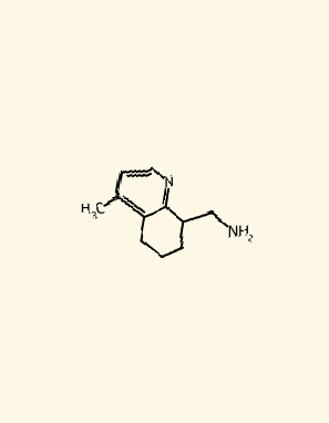 Cc1ccnc2c1CCCC2CN